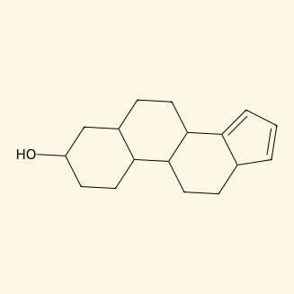 OC1CCC2C(CCC3C4=CC=CC4CCC32)C1